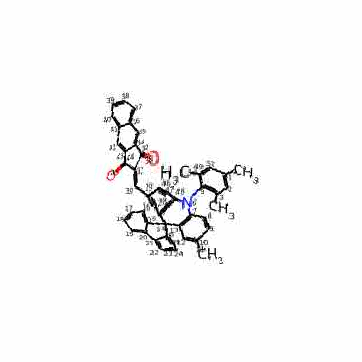 Cc1cc(C)c(N2c3ccc(C)cc3C3(c4ccccc4-c4ccccc43)c3cc(C=C4C(=O)c5cc6ccccc6cc5C4=O)ccc32)c(C)c1